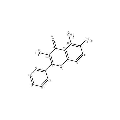 Cc1ccc2oc(-c3ccccc3)c(C)c(=O)c2c1C